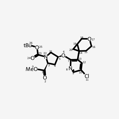 COC(=O)[C@@H]1C[C@H](Oc2ncc(Cl)cc2C23CCOCC2C3)CN1C(=O)OC(C)(C)C